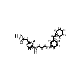 Cn1c(CC(N)=O)nnc1NCCCOc1cccc(CN2CCCCC2)c1